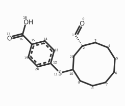 O=C[C@@H]1CCCCCCCC(Sc2ccc(C(=O)O)cc2)C1